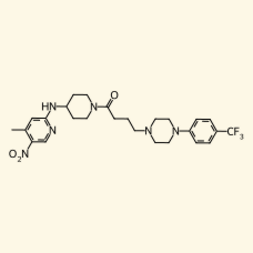 Cc1cc(NC2CCN(C(=O)CCCN3CCN(c4ccc(C(F)(F)F)cc4)CC3)CC2)ncc1[N+](=O)[O-]